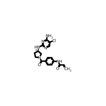 C=CC(=O)Nc1ccc(C(=O)N2CC[C@@H](Nc3ncc(Cl)c(N)n3)C2)cc1